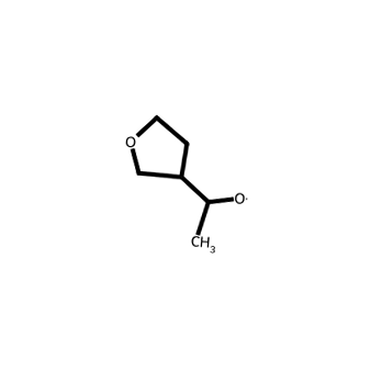 CC([O])C1CCOC1